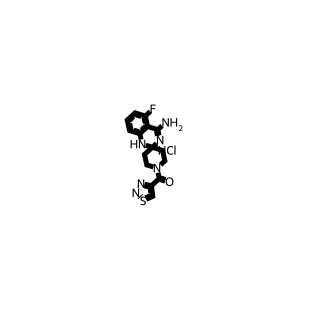 Cl.NC1=NC2(CCN(C(=O)c3csnn3)CC2)Nc2cccc(F)c21